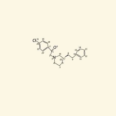 O=C(CN1CCC[C@H](CCc2ccccc2)C1)c1ccc(Cl)cc1